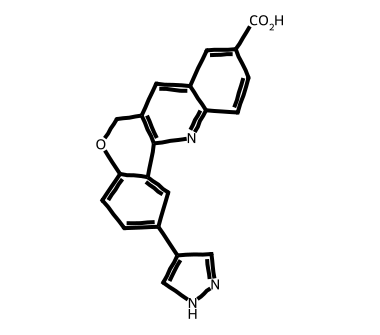 O=C(O)c1ccc2nc3c(cc2c1)COc1ccc(-c2cn[nH]c2)cc1-3